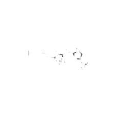 CCSc1nnc(Sc2ncc([N+](=O)[O-])s2)s1